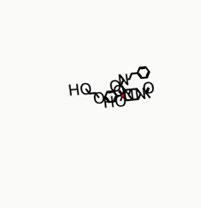 CC(=O)N1CC2CC(c3ccc(OCCO)cc3)=C(C(=O)N(C)CCc3ccccc3)C(C1)N2C(=O)O